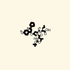 CCC[C@H](/N=C(\SC)[C@@H]1CC(Oc2cc(-c3ccccc3)nc3cc(OC)ccc23)CN1C(=O)[C@@H](NC(=O)OC(C)(C)C)C(C)C)C(=O)O